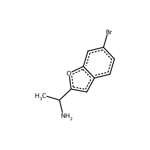 CC(N)c1cc2ccc(Br)cc2o1